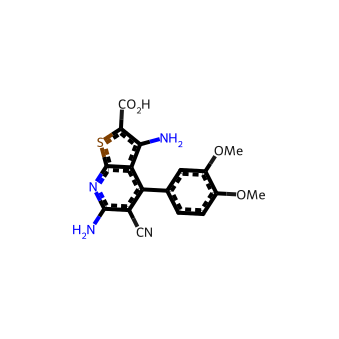 COc1ccc(-c2c(C#N)c(N)nc3sc(C(=O)O)c(N)c23)cc1OC